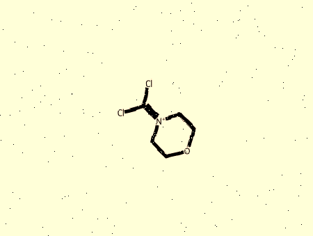 ClC(Cl)=[N+]1CCOCC1